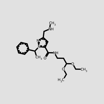 CCOC(CCNC(=O)c1cc(CNC)nn1C(C)c1ccccc1)OCC